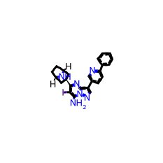 Nc1c(I)c([C@@H]2C[C@H]3CC[C@@H](C2)N3)nc2c(-c3ccc(-c4ccccc4)nc3)cnn12